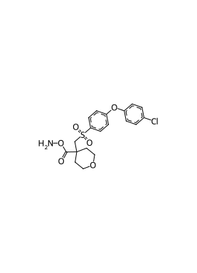 NOC(=O)C1(CS(=O)(=O)c2ccc(Oc3ccc(Cl)cc3)cc2)CCOCC1